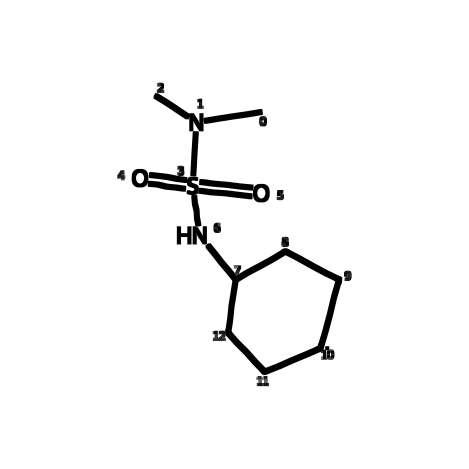 CN(C)S(=O)(=O)NC1CC[CH]CC1